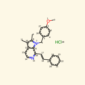 COc1ccc(Cn2c(C)c(C)c3ccnc(C=Cc4ccccc4)c32)cc1.Cl